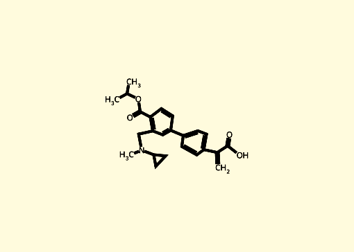 C=C(C(=O)O)c1ccc(-c2ccc(C(=O)OC(C)C)c(CN(C)C3CC3)c2)cc1